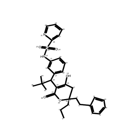 CCC[C@]1(CCc2ccccc2)CC(O)=C(C(c2cccc(NS(=O)(=O)c3ccccn3)c2)C(C)(C)C)C(=O)O1